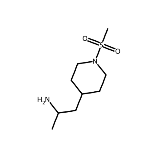 CC(N)CC1CCN(S(C)(=O)=O)CC1